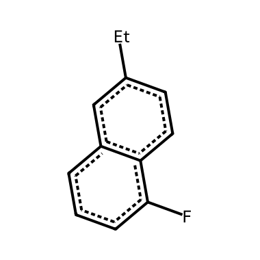 CCc1ccc2c(F)cccc2c1